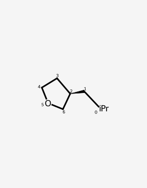 CC(C)C[C@@H]1CCOC1